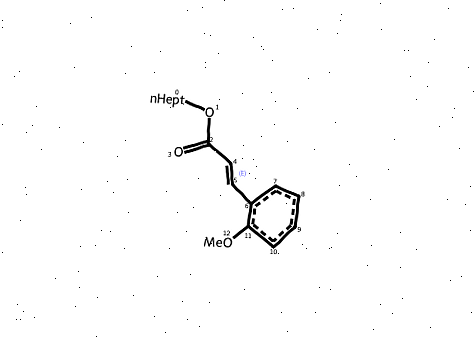 CCCCCCCOC(=O)/C=C/c1ccccc1OC